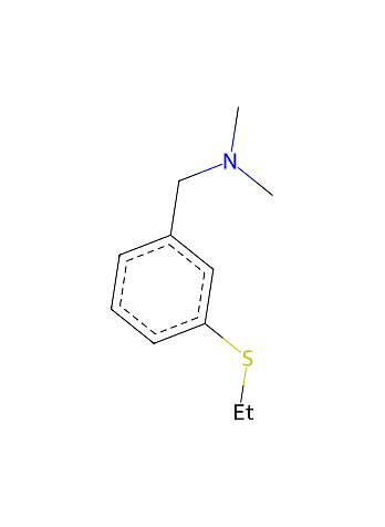 [CH2]CSc1cccc(CN(C)C)c1